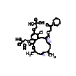 C[C@@H]1C/C=C/[C@H](C)C/C=C/C(=N/OCC(=O)N2CCCCC2)Cc2c(Cl)c(OCP(=O)(O)O)cc(OCP(=O)(O)O)c2C(=O)O1